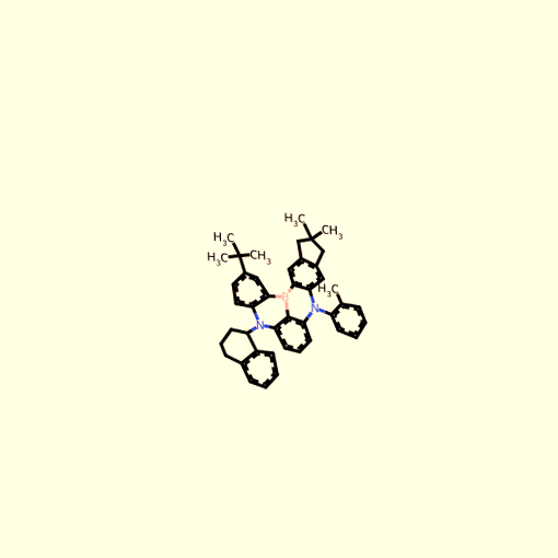 Cc1ccccc1N1c2cc3c(cc2B2c4cc(C(C)(C)C)ccc4N(C4CCCc5ccccc54)c4cccc1c42)CC(C)(C)C3